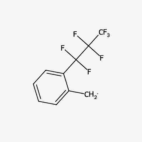 [CH2]c1ccccc1C(F)(F)C(F)(F)C(F)(F)F